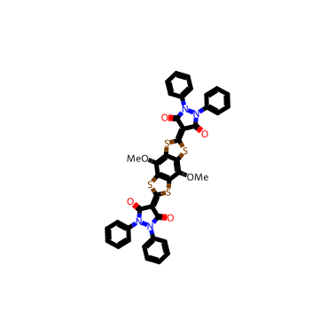 COc1c2c(c(OC)c3c1SC(=C1C(=O)N(c4ccccc4)N(c4ccccc4)C1=O)S3)SC(=C1C(=O)N(c3ccccc3)N(c3ccccc3)C1=O)S2